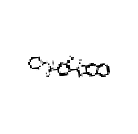 O=C(NN1CCCCC1)c1ccc(-c2nc3cc4ccccc4cc3[nH]2)c(Br)c1